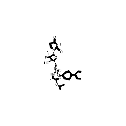 C=C/C(=C\C)c1ccc(OP(=O)(N[C@@H](C)C(=O)OC(C)C)OC[C@H]2O[C@@H](n3ccc(=O)[nH]c3=O)[C@](C)(F)[C@@H]2O)cc1